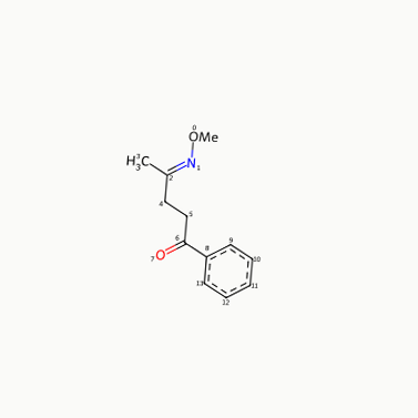 CON=C(C)CCC(=O)c1ccccc1